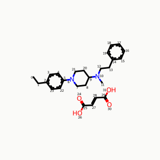 CCc1ccc(N2CCC(N(C)CCc3ccccc3)CC2)cc1.O=C(O)C=CC(=O)O